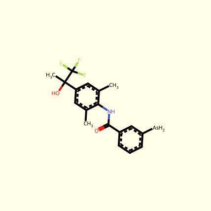 Cc1cc(C(C)(O)C(F)(F)F)cc(C)c1NC(=O)c1cccc([AsH2])c1